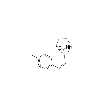 Cc1ccc(/C=C\C2CC3CCC(CC3)N2)cn1